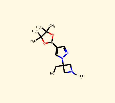 CC1(C)OB(c2cnn(C3(CC#N)CN(C(=O)O)C3)c2)OC1(C)C